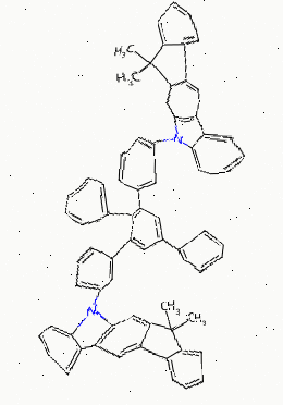 CC1(C)c2ccccc2-c2cc3c4ccccc4n(-c4cccc(-c5cc(-c6ccccc6)cc(-c6cccc(-n7c8c(c9ccccc97)C=C7c9ccccc9C(C)(C)C7C8)c6)c5-c5ccccc5)c4)c3cc21